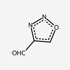 O=[C]c1conn1